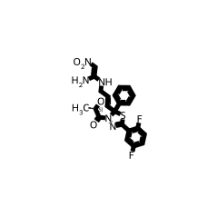 C[C@H](O)C(=O)N1N=C(c2cc(F)ccc2F)SC1(CCCNC(N)=C[N+](=O)[O-])c1ccccc1